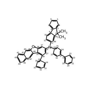 CC1(C)c2ccccc2-c2ccc(N(c3ccc(-c4ccccc4)cc3)c3cc(-c4ccccc4)c4c(c3)oc3cc5ccccc5cc34)cc21